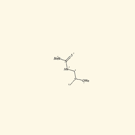 CNC(=S)NCC(C)OC